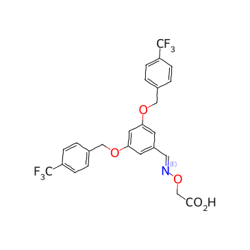 O=C(O)CO/N=C/c1cc(OCc2ccc(C(F)(F)F)cc2)cc(OCc2ccc(C(F)(F)F)cc2)c1